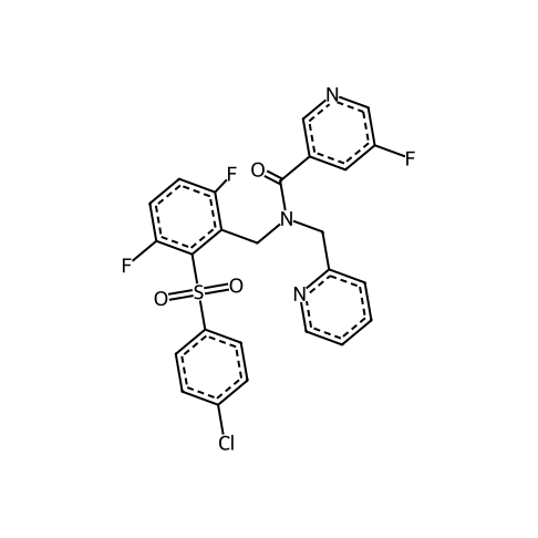 O=C(c1cncc(F)c1)N(Cc1ccccn1)Cc1c(F)ccc(F)c1S(=O)(=O)c1ccc(Cl)cc1